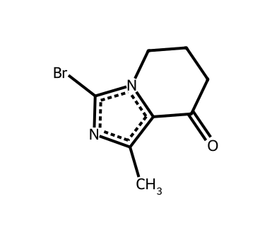 Cc1nc(Br)n2c1C(=O)CCC2